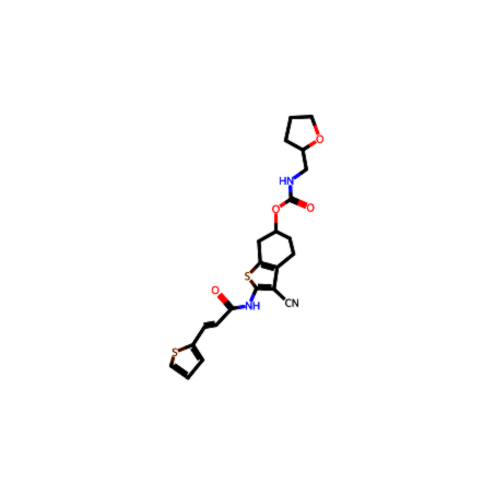 N#Cc1c(NC(=O)C=Cc2cccs2)sc2c1CCC(OC(=O)NCC1CCCO1)C2